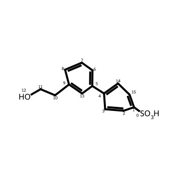 O=S(=O)(O)c1ccc(-c2cccc(CCO)c2)cc1